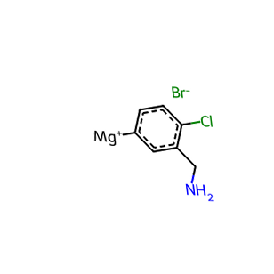 NCc1c[c]([Mg+])ccc1Cl.[Br-]